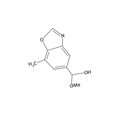 COC(O)c1cc(C)c2ocnc2c1